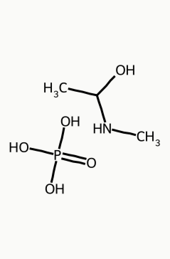 CNC(C)O.O=P(O)(O)O